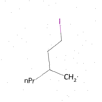 [CH2]C(CCC)CCI